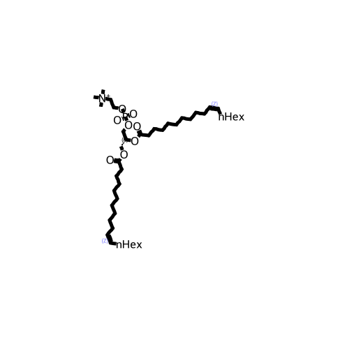 CCCCCC/C=C\CCCCCCCCCC(=O)OC[C@H](COP(=O)([O-])OCC[N+](C)(C)C)OC(=O)CCCCCCCCC/C=C\CCCCCC